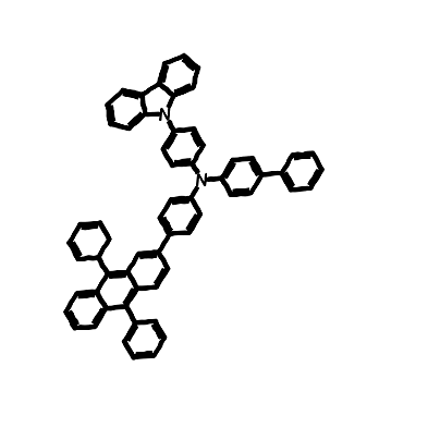 C1=CCC(c2c3ccccc3c(-c3ccccc3)c3ccc(-c4ccc(N(c5ccc(-c6ccccc6)cc5)c5ccc(-n6c7ccccc7c7ccccc76)cc5)cc4)cc23)C=C1